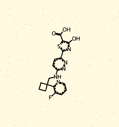 O=C(O)c1sc(-c2ccc(NCC3(c4ncccc4F)CCC3)nn2)nc1O